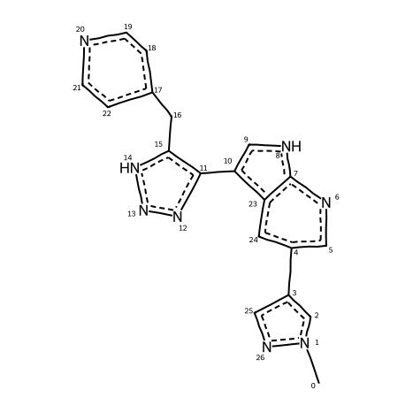 Cn1cc(-c2cnc3[nH]cc(-c4nn[nH]c4Cc4ccncc4)c3c2)cn1